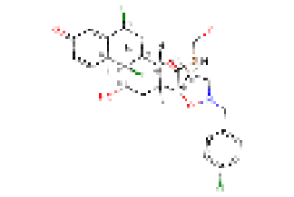 COCSC(=O)[C@@]12ON(Cc3ccc(Cl)cc3)C[C@@H]1C[C@H]1[C@@H]3C[C@H](F)C4=CC(=O)C=C[C@]4(C)[C@@]3(F)[C@@H](O)CC12C